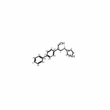 OCC(CCN1CCNC1)c1ccc(-c2ccccc2)cc1